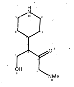 CNCC(=O)C(CO)C1CCNCC1